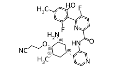 Cc1cc(O)c(-c2nc(C(=O)Nc3cnccc3[C@H]3C[C@@H](N)[C@@H](OCCC#N)[C@@H](C)C3)ccc2F)c(F)c1